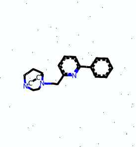 c1ccc(-c2cccc(CN3CCN4CCC3CC4)n2)cc1